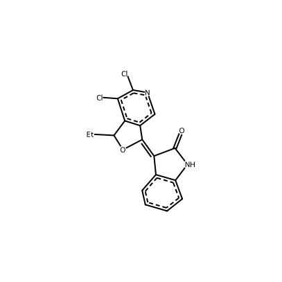 CCC1OC(=C2C(=O)Nc3ccccc32)c2cnc(Cl)c(Cl)c21